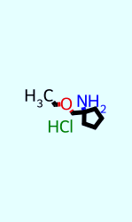 CCOCC1(N)CCCC1.Cl